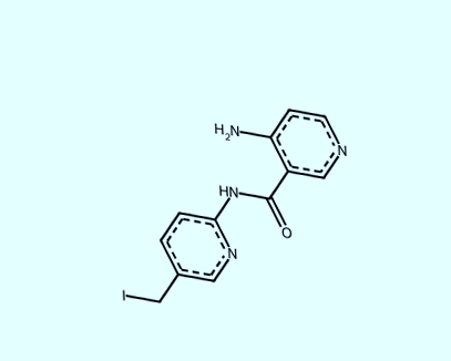 Nc1ccncc1C(=O)Nc1ccc(CI)cn1